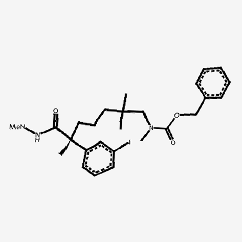 CNNC(=O)[C@](C)(CCCC(C)(C)CN(C)C(=O)OCc1ccccc1)c1cccc(I)c1